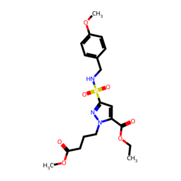 CCOC(=O)c1cc(S(=O)(=O)NCc2ccc(OC)cc2)nn1CCCC(=O)OC